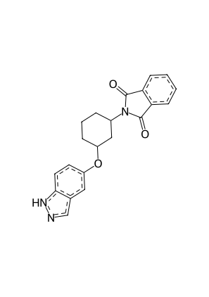 O=C1c2ccccc2C(=O)N1C1CCCC(Oc2ccc3[nH]ncc3c2)C1